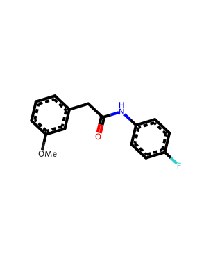 COc1cccc(CC(=O)Nc2ccc(F)cc2)c1